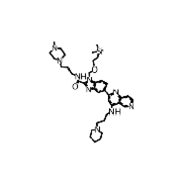 CN1CCN(CCCNC(=O)c2nc3cc(-c4cc(NCCCN5CCCCC5)c5cnccc5n4)ccc3n2COCC[Si](C)(C)C)CC1